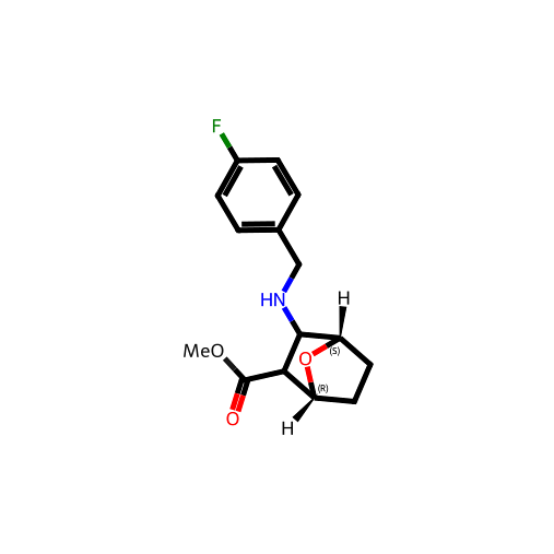 COC(=O)C1C(NCc2ccc(F)cc2)[C@@H]2CC[C@H]1O2